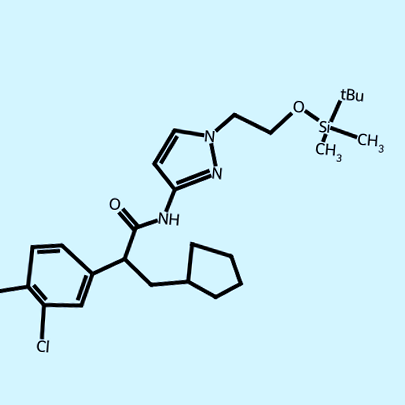 CC(C)(C)[Si](C)(C)OCCn1ccc(NC(=O)C(CC2CCCC2)c2ccc(Cl)c(Cl)c2)n1